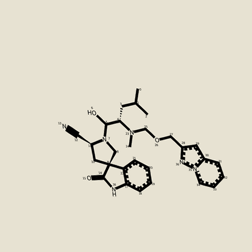 CC(C)C[C@@H](C(O)N1C[C@]2(C[C@H]1C#N)C(=O)Nc1ccccc12)N(C)COCc1cc2ccccn2n1